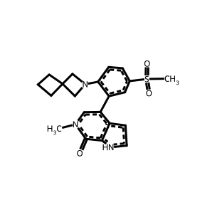 Cn1cc(-c2cc(S(C)(=O)=O)ccc2N2CC3(CCC3)C2)c2cc[nH]c2c1=O